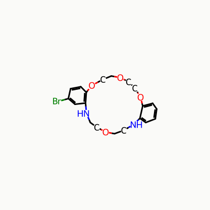 Brc1ccc2c(c1)NCCOCCNc1ccccc1OCCOCCO2